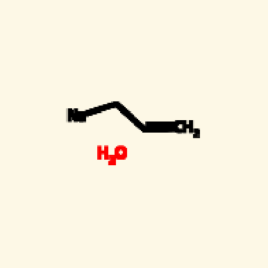 C=C[CH2][Na].O